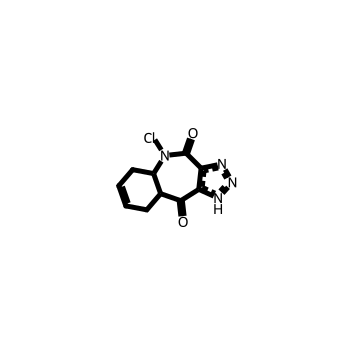 O=C1c2[nH]nnc2C(=O)N(Cl)C2CC=CCC12